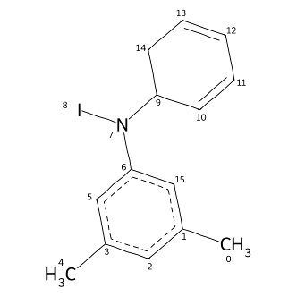 Cc1cc(C)cc(N(I)C2C=CC=CC2)c1